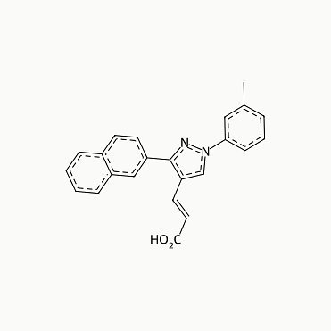 Cc1cccc(-n2cc(C=CC(=O)O)c(-c3ccc4ccccc4c3)n2)c1